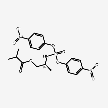 CC(C)C(=O)OC[C@H](C)NP(=O)(Oc1ccc([N+](=O)[O-])cc1)Oc1ccc([N+](=O)[O-])cc1